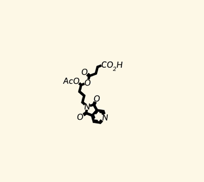 CC(=O)OC(CCCN1C(=O)c2ccncc2C1=O)OC(=O)CCC(=O)O